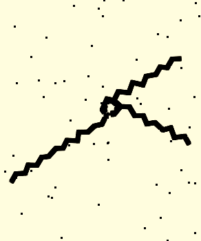 CCCCCCCCCCCCCCC[n+]1ccc(CCCCCCCCCC)c(CCCCCCCCCC)c1